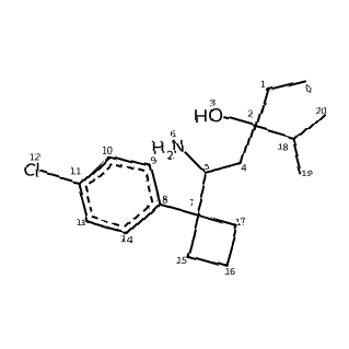 CCC(O)(CC(N)C1(c2ccc(Cl)cc2)CCC1)C(C)C